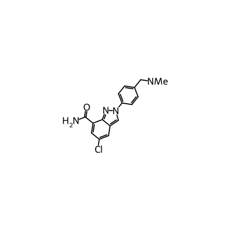 CNCc1ccc(-n2cc3cc(Cl)cc(C(N)=O)c3n2)cc1